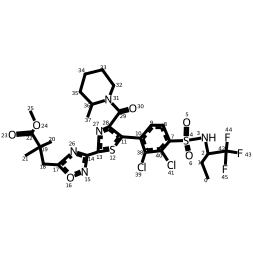 CCC(NS(=O)(=O)c1ccc(-c2sc(-c3noc(CC(C)(C)C(=O)OC)n3)nc2C(=O)N2CCCCC2C)c(Cl)c1Cl)C(F)(F)F